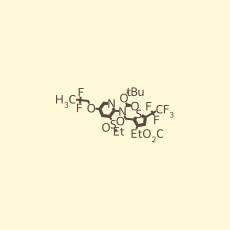 CCOC(=O)c1cc(C(F)(F)C(F)(F)F)sc1CN(C(=O)OC(C)(C)C)c1ncc(OCC(C)(F)F)cc1S(=O)(=O)CC